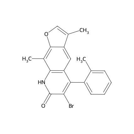 Cc1ccccc1-c1c(Br)c(=O)[nH]c2c(C)c3occ(C)c3cc12